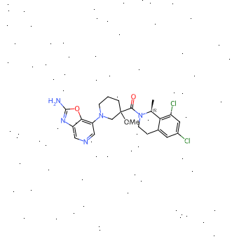 COC1(C(=O)N2CCc3cc(Cl)cc(Cl)c3[C@@H]2C)CCCN(c2cncc3nc(N)oc23)C1